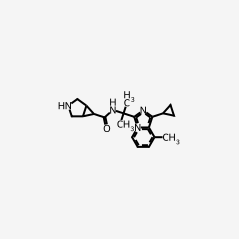 Cc1cccn2c(C(C)(C)NC(=O)C3C4CNCC43)nc(C3CC3)c12